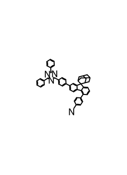 N#Cc1ccc(-c2cccc3c2-c2ccc(-c4ccc(-c5nc(-c6ccccc6)nc(-c6ccccc6)n5)cc4)cc2C32C3CC4CC(C3)CC2C4)cc1